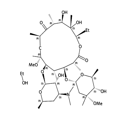 CCO.CC[C@H]1OC(=O)[C@H](C)[C@@H](O[C@H]2C[C@@](C)(OC)[C@@H](O)[C@H](C)O2)[C@H](C)[C@@H](O[C@@H]2O[C@H](C)C[C@H](N(C)C)[C@H]2O)[C@](C)(OC)C[C@@H](C)C(=O)[C@H](C)[C@@H](O)[C@]1(C)O